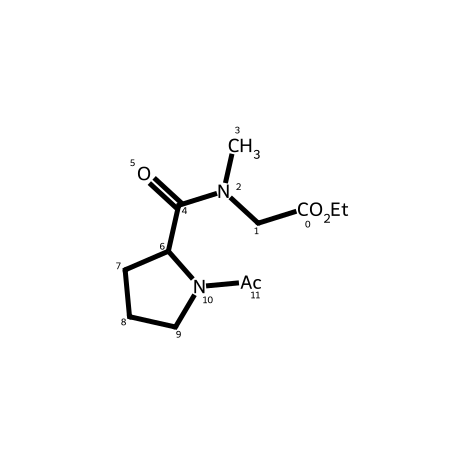 CCOC(=O)CN(C)C(=O)C1CCCN1C(C)=O